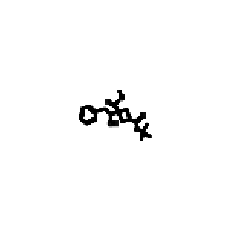 COC(=O)C1(C(O)Cc2ccccc2)CN(C(=O)OC(C)(C)C)C1